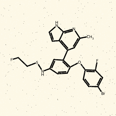 Cc1cc(-c2cc(NSCCF)ccc2Oc2ccc(Br)cc2F)c2cc[nH]c2n1